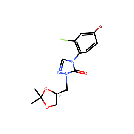 CC1(C)OC[C@H](Cn2ncn(-c3ccc(Br)cc3F)c2=O)O1